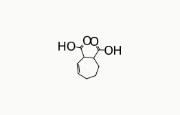 O=C(O)C1C=CCCCC1C(=O)O